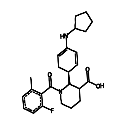 Cc1cccc(F)c1C(=O)N1CCCC(C(=O)O)C1[C@@H]1C=CC(NC2CCCC2)=CC1